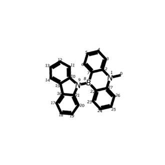 CN1c2ccccc2B(n2c3ccccc3c3ccccc32)c2ccccc21